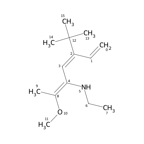 C=C/C(=C\C(NCC)=C(/C)OC)C(C)(C)C